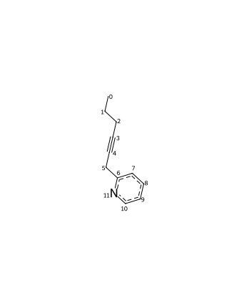 CCCC#CCc1ccccn1